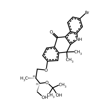 C[C@H](COc1ccc2c(c1)C(C)(C)c1[nH]c3cc(Br)ccc3c1C2=O)[C@@H](CO)OC(C)(C)O